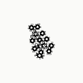 CC1(C)CCC(C)(C)c2cc(N3c4nc(-n5c6ccccc6c6ccccc65)nc5c4B(c4cc6c(cc4N5c4ccccc4)N(c4ccccc4)c4nc(-n5c7ccccc7c7ccccc75)nc5c4B6c4ccccc4O5)c4oc5ccccc5c43)ccc21